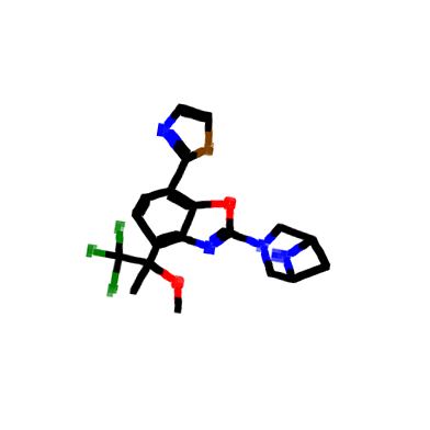 COC(C)(c1ccc(-c2nccs2)c2oc(N3CC4CC(C3)N4)nc12)C(F)(F)F